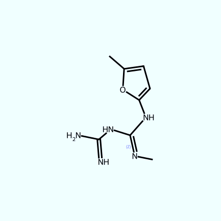 C/N=C(/NC(=N)N)Nc1ccc(C)o1